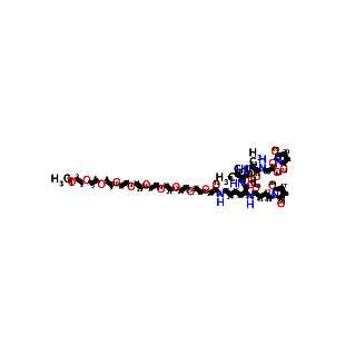 COCCOCCOCCOCCOCCOCCOCCOCCOCCOCC(=O)NCCCCC(NC(=O)CCCN1C(=O)C=CC1=O)C(=O)NC(C(=O)NC(C)C(=O)NCC(=O)ON1C(=O)CCC1=O)C(C)C